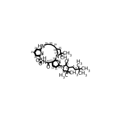 CC(C)(C)CCC1C(=O)N(c2ccc3c(n2)N2CC(CCCNc4cccc(n4)S(=O)(=O)NC3=O)CC2(C)C)CC1(C)C